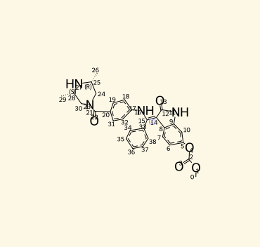 COC(=O)Oc1ccc2c(c1)NC(=O)/C2=C(\Nc1ccc(C(=O)N2C[C@@H](C)N[C@@H](C)C2)cc1)c1ccccc1